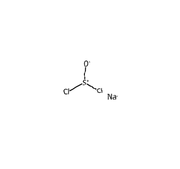 [Na].[O-][S+](Cl)Cl